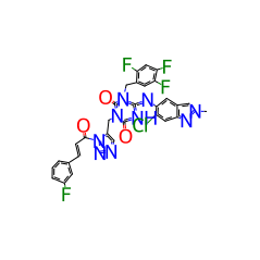 Cn1cc2cc(/N=c3\[nH]c(=O)n(Cc4cnnn4C(=O)/C=C/c4cccc(F)c4)c(=O)n3Cc3cc(F)c(F)cc3F)c(Cl)cc2n1